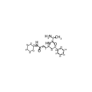 C[C@H](N)C(=O)N[C@H](/C=C/C(=O)NC1CCCCC1)CCc1ccccc1